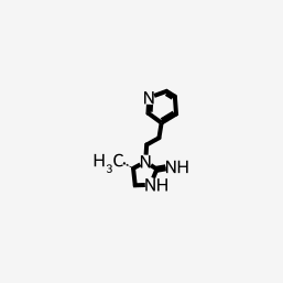 C[C@H]1CNC(=N)N1CCc1cccnc1